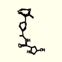 Cc1ncsc1-c1ccc(C(C)NC(=O)C2CC(O)CN2)cc1